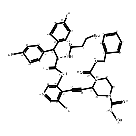 CC(C)(C)CCC(=O)N[C@H](C(=O)Nc1cncc(F)c1C#CC1CN(C(=O)OC(C)(C)C)CCN1C(=O)OCc1ccccc1)C(c1ccc(F)cc1)c1ccc(F)cc1